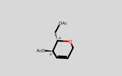 CC(=O)OC[C@@H]1OCC=C[C@H]1OC(C)=O